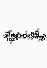 COC(=O)N[C@H](C(=O)N1C[C@@H](C)C[C@H]1c1nc2cc(-c3ccc(-c4ccc5[nH]c([C@@H]6C[C@H](C)CN6C(=O)[C@@H](NC(=O)OC)C(C)C)nc5c4)c(C)c3)ccc2[nH]1)C(C)C